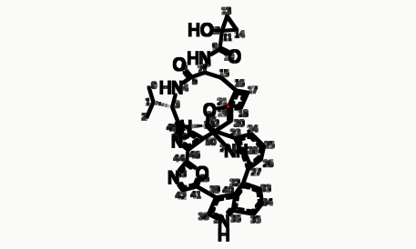 CC(C)[C@@H]1NC(=O)[C@@H](NC(=O)C2(O)CC2)Cc2ccc3c(c2)C24c5cccc(c5N[C@H]2O3)-c2cccc3[nH]cc(c23)-c2cnc(o2)-c2nc1oc24